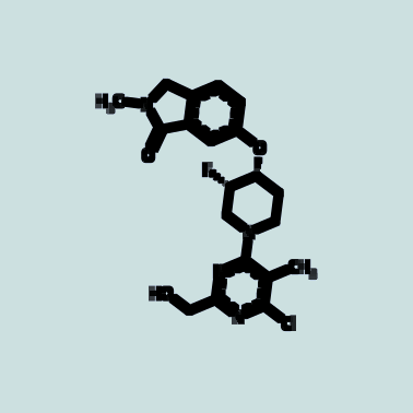 Cc1c(Cl)nc(CO)nc1N1CC[C@@H](Oc2ccc3c(c2)C(=O)N(C)C3)[C@@H](F)C1